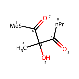 CCCC(=O)C(C)(O)C(=O)SC